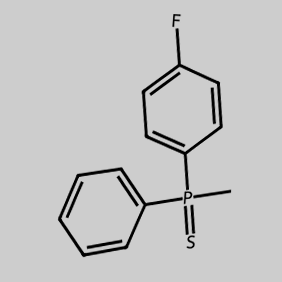 CP(=S)(c1ccccc1)c1ccc(F)cc1